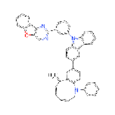 C=C1/C=C\C=C/CN(c2ccccc2)c2ccc(-c3ccc4c(c3)c3ccccc3n4-c3cccc(-c4ncc5oc6ccccc6c5n4)c3)cc21